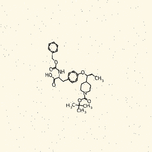 CCC(Oc1ccc(CC(NC(=O)OCc2ccccc2)C(=O)O)cc1)C1CCN(C(=O)OC(C)(C)C)CC1